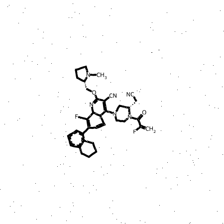 C=C(F)C(=O)N1CCN(C2=C(C#N)C(OC[C@@H]3CCCN3C)=NC3C(F)=C(c4cccc5c4CCCC5)C=CC23)C[C@@H]1CC#N